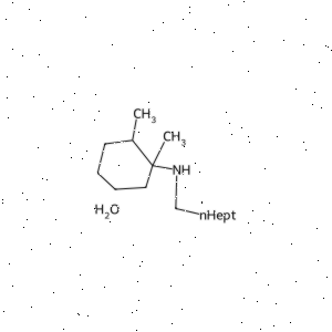 CCCCCCCCNC1(C)CCCCC1C.O